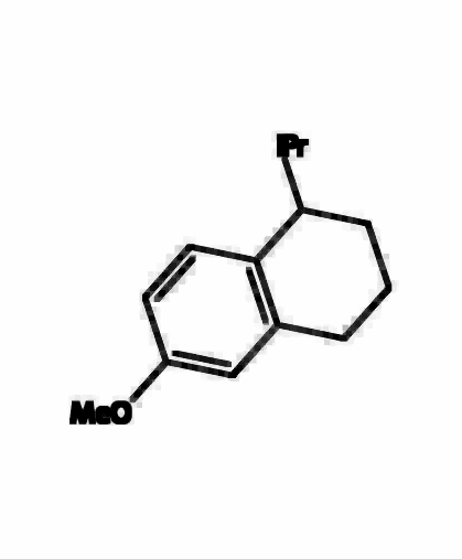 COc1ccc2c(c1)CCCC2C(C)C